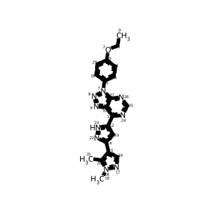 CCOc1ccc(-n2nnc3c(-c4cc(-c5cnn(C)c5C)n[nH]4)n[c]nc32)cc1